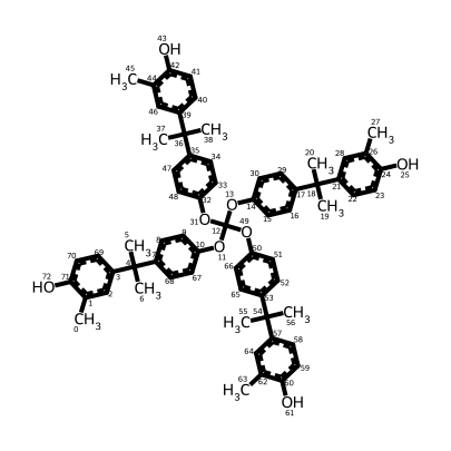 Cc1cc(C(C)(C)c2ccc(OC(Oc3ccc(C(C)(C)c4ccc(O)c(C)c4)cc3)(Oc3ccc(C(C)(C)c4ccc(O)c(C)c4)cc3)Oc3ccc(C(C)(C)c4ccc(O)c(C)c4)cc3)cc2)ccc1O